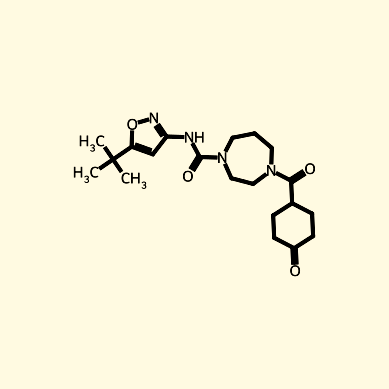 CC(C)(C)c1cc(NC(=O)N2CCCN(C(=O)C3CCC(=O)CC3)CC2)no1